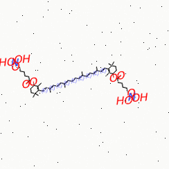 CC1=C(/C=C/C(C)=C/C=C/C(C)=C/C=C/C=C(C)/C=C/C=C(C)/C=C/C2=C(C)C(OC(=O)CCCCCON(O)O)CCC2(C)C)C(C)(C)CCC1OC(=O)CCCCCON(O)O